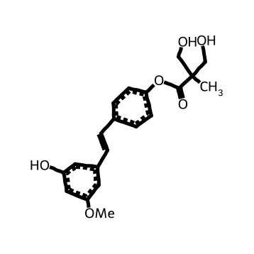 COc1cc(O)cc(/C=C/c2ccc(OC(=O)C(C)(CO)CO)cc2)c1